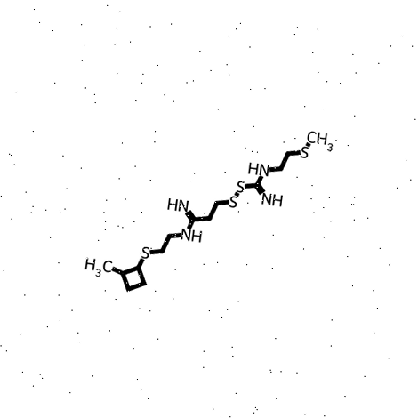 CSCCNC(=N)SSCCC(=N)NCCSC1CCC1C